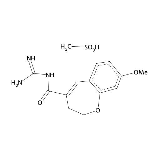 COc1ccc2c(c1)OCCC(C(=O)NC(=N)N)=C2.CS(=O)(=O)O